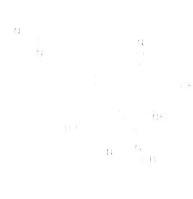 Cc1nn(C)c2c1C(c1ccc(-n3ccnc3)cc1)C(C#N)=C(O)N2